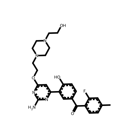 Cc1ccc(C(=O)c2ccc(O)c(-c3cc(OCCN4CCN(CCO)CC4)nc(N)n3)c2)c(F)c1